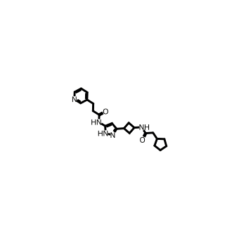 O=C(CCc1cccnc1)Nc1cc(C2CC(NC(=O)CC3CCCC3)C2)n[nH]1